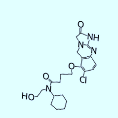 O=C1CN2Cc3c(ccc(Cl)c3OCCCC(=O)N(CCO)C3CCCCC3)N=C2N1